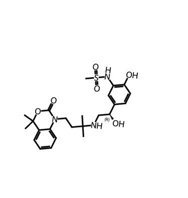 CC(C)(CCN1C(=O)OC(C)(C)c2ccccc21)NC[C@H](O)c1ccc(O)c(NS(C)(=O)=O)c1